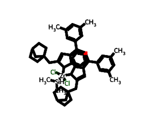 Cc1cc(C)cc(-c2cccc3c2C=C(CC24CCC(CC2)C4)[CH]3[Zr]([Cl])([Cl])([CH]2C(CC34CCC(CC3)C4)=Cc3c(-c4cc(C)cc(C)c4)cccc32)[SiH](C)C)c1